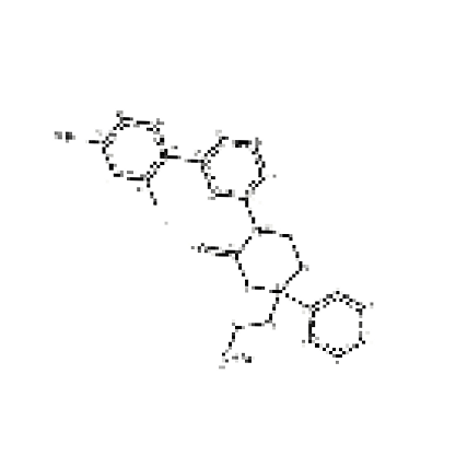 CC(=O)NCCC1(c2ccccc2)CCN(c2cccc(-c3ccc(F)cc3F)c2)C(=O)C1